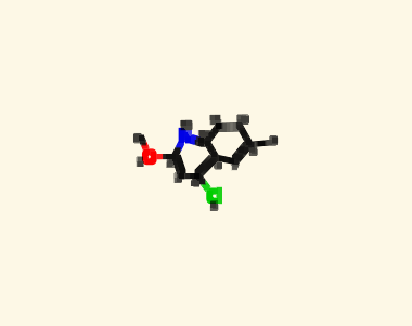 COc1cc(Cl)c2cc(C)ccc2n1